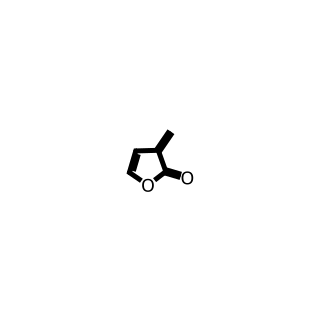 C=C1C=COC1=O